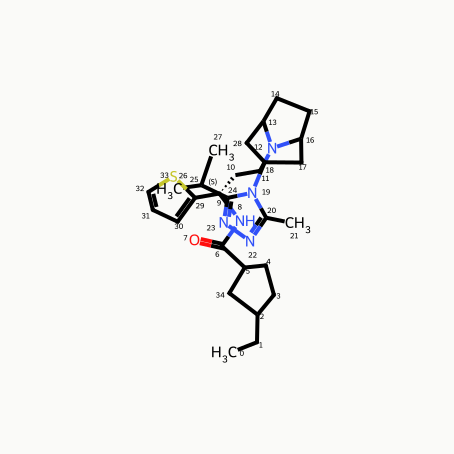 CCC1CCC(C(=O)N[C@@H](CCN2C3CCC2CC(n2c(C)nnc2C(C)C)C3)c2cccs2)C1